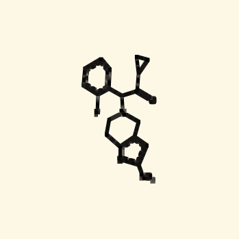 O=C(C1CC1)C(c1ccccc1F)N1CCc2sc([N+](=O)[O-])cc2C1